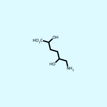 NCC(O)CCC(O)C(=O)O